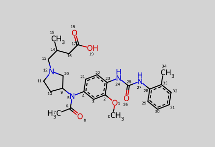 COc1cc(N(C(C)=O)C2CCN(CC(C)CC(=O)O)C2)ccc1NC(=O)Nc1ccccc1C